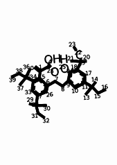 C=C(C(=O)O)c1c(CCc2cc(C(C)(C)CC)cc(C(C)(C)CC)c2O)cc(C(C)(C)CC)cc1C(C)(C)CC